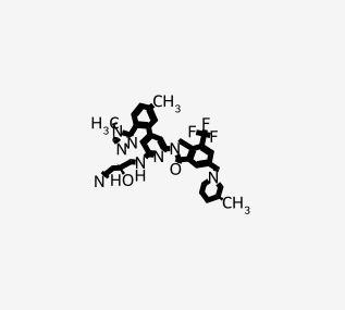 Cc1ccc(-c2nncn2C)c(-c2cc(NC[C@@H](O)CC#N)nc(N3Cc4c(cc(CN5CCC[C@H](C)C5)cc4C(F)(F)F)C3=O)c2)c1